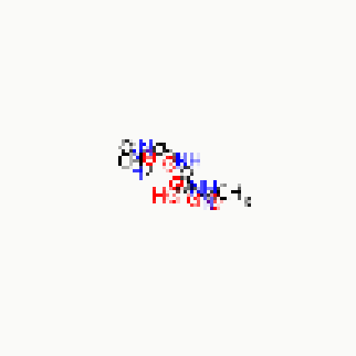 Cc1cc(C(=O)N[C@@H](CC(=O)O)c2ccc(NC(=O)Cc3ccc4nc(Nc5ccccc5C)oc4c3)cc2)no1